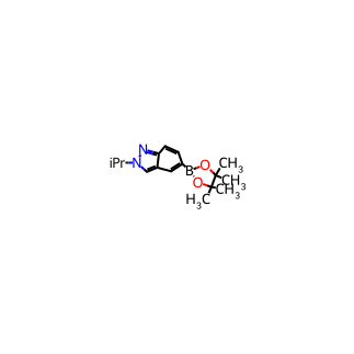 CC(C)n1cc2cc(B3OC(C)(C)C(C)(C)O3)ccc2n1